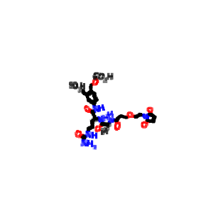 CC(C)[C@H](NC(=O)CCOCCN1C(=O)C=CC1=O)C(=O)N[C@@H](CCCNC(N)=O)C(=O)Nc1ccc(COC(=O)O)c(CS(=O)(=O)O)c1